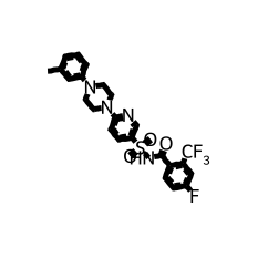 Cc1cccc(N2CCN(c3ccc(S(=O)(=O)NC(=O)c4ccc(F)cc4C(F)(F)F)cn3)CC2)c1